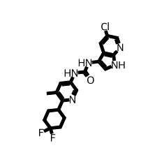 Cc1cc(NC(=O)Nc2c[nH]c3ncc(Cl)cc23)cnc1C1CCC(F)(F)CC1